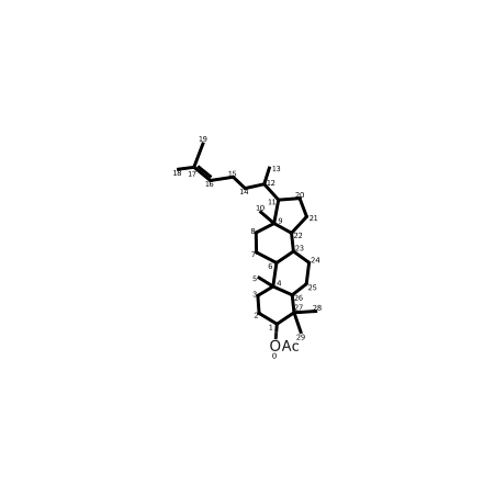 CC(=O)OC1CCC2(C)C3CCC4(C)C(C(C)CCC=C(C)C)CCC4C3CCC2C1(C)C